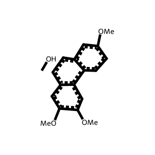 CO.COc1ccc2c(ccc3cc(OC)c(OC)cc32)c1